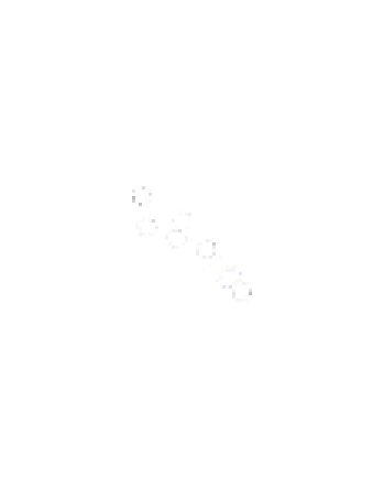 c1ccc(-c2cccc(-c3ccc(-c4ccc5c(c4)Oc4nc6ccccc6nc4O5)c4ccccc34)c2)cc1